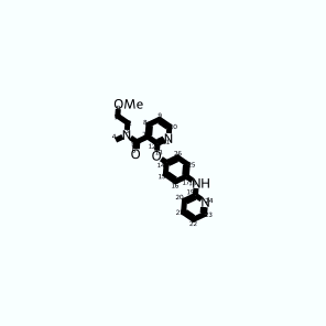 COCCN(C)C(=O)c1cccnc1Oc1ccc(Nc2ccccn2)cc1